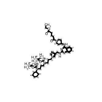 CCOC(=O)CCCC(=O)N1CCC(Nc2nc(NCc3cn(CCCN(CCCN(C(=O)OC(C)(C)C)C4CCCCC4)C(=O)OC(C)(C)C)nn3)nc3ccccc23)CC1